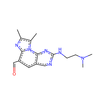 Cc1nc2c(C=O)cc3cnc(NCCN(C)C)nc3n2c1C